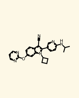 CC(C)Nc1ccc(-c2c(C#N)c3ccc(Oc4ncccn4)cc3n2C2CCC2)cn1